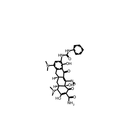 CN(C)c1cc(NC(=O)Nc2ccccc2)c(O)c2c1C[C@H]1C[C@H]3[C@H](N(C)C)C(O)=C(C(N)=O)C(=O)[C@@]3(O)C(N=O)=C1C2=O